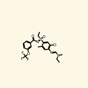 CCN(C)/C=N/c1cc(C)c(S(=O)(CC)=NC(=O)c2cccc(OC(F)(F)F)c2)cc1Cl